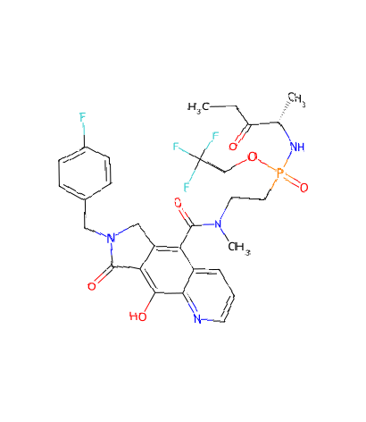 CCC(=O)[C@H](C)NP(=O)(CCN(C)C(=O)c1c2c(c(O)c3ncccc13)C(=O)N(Cc1ccc(F)cc1)C2)OCC(F)(F)F